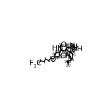 FC(F)(F)CCCCCOc1ccc(/C2=C/C(c3ccn(CC4CC4)n3)=C(/c3nn[nH]n3)COCN2)c(C(F)(F)F)c1